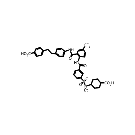 CCN(C1CCC(C(=O)O)CC1)S(=O)(=O)c1cccc(C(=O)Nc2ccc(C(F)(F)F)cc2C(=O)Nc2ccc(CCc3ccc(C(=O)O)cc3)cc2)c1